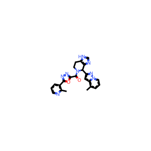 Cc1ncccc1-c1nnc(C(=O)N2CCc3[nH]cnc3C2c2cc3c(C)cccn3n2)o1